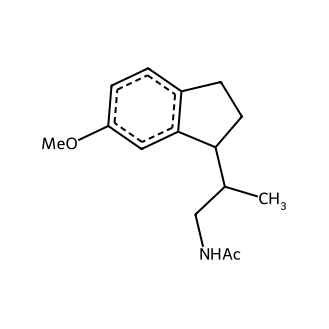 COc1ccc2c(c1)C(C(C)CNC(C)=O)CC2